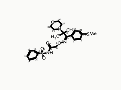 CSc1ccc(C(=NOCC(=O)NS(=O)(=O)c2ccccc2)C(C)(C)N2CCOCC2)cc1